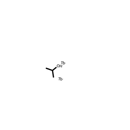 CC(C)O.[Tb].[Tb]